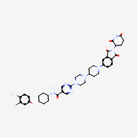 N#Cc1ccc(O[C@H]2CC[C@H](NC(=O)c3cnc(N4CCN(C5CCN(c6ccc7c(c6)C(=O)N(C6CCC(=O)NC6=O)C7=O)CC5)CC4)nc3)CC2)cc1Cl